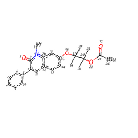 CC(C)n1c(=O)c(-c2ccccc2)cc2ccc(OC(C)(C)C(C)(C)OC(=O)C(C)(C)C)cc21